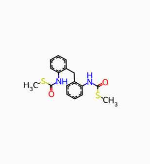 CSC(=O)Nc1ccccc1Cc1ccccc1NC(=O)SC